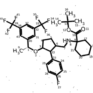 C[C@@H](OC1CCC(CNC2(C(=O)OC(C)(C)C)CCCCC2)C1c1ccc(F)cc1)c1cc(C(F)(F)F)cc(C(F)(F)F)c1